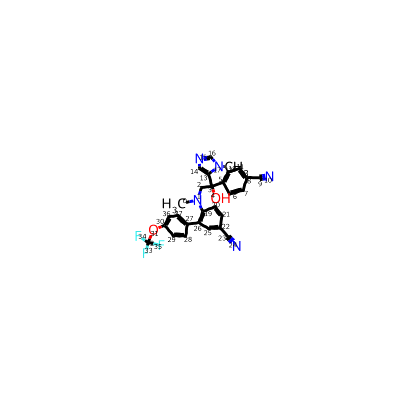 CN(CC(O)(c1ccc(C#N)cc1)c1cncn1C)c1ccc(C#N)cc1-c1ccc(OC(F)(F)F)cc1